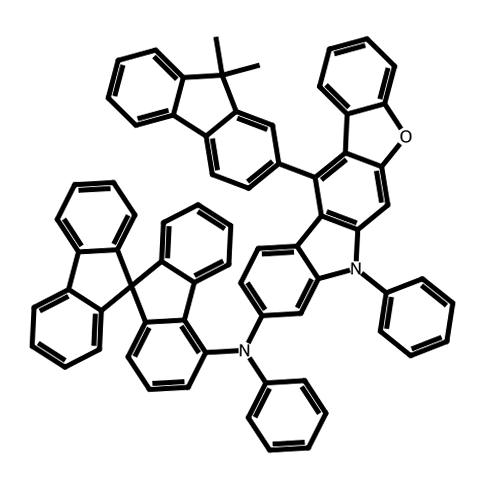 CC1(C)c2ccccc2-c2ccc(-c3c4c(cc5c3c3ccc(N(c6ccccc6)c6cccc7c6-c6ccccc6C76c7ccccc7-c7ccccc76)cc3n5-c3ccccc3)oc3ccccc34)cc21